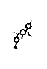 C=CC[C@]1(c2ccc(F)cc2)CCN([C@@H](C)c2ccc(C3CC3)cc2)C(=O)C1